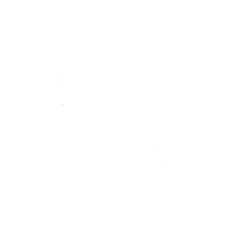 COc1cc(CC(=O)Nc2cc(-c3ccco3)nc(-n3cccn3)c2)cc(OC)c1OC